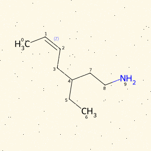 C/C=C\CC(CC)CCN